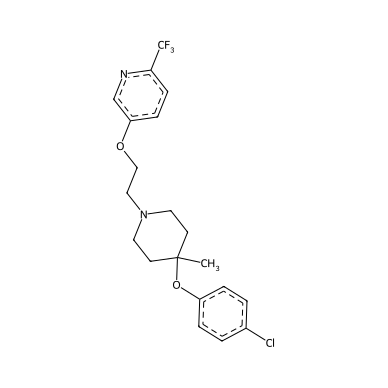 CC1(Oc2ccc(Cl)cc2)CCN(CCOc2ccc(C(F)(F)F)nc2)CC1